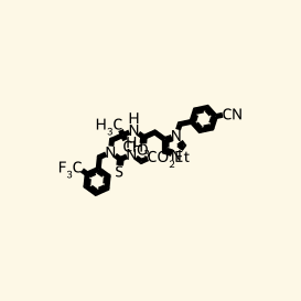 CCOC(=O)CNC(=S)N(Cc1ccccc1C(F)(F)F)CC(C)(C)NC(=O)Cc1cncn1Cc1ccc(C#N)cc1